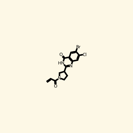 C=CC(=O)N1CCC(c2nc3cc(Cl)c(Br)cc3c(=O)[nH]2)C1